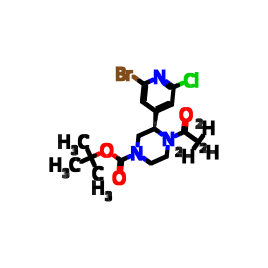 [2H]C([2H])([2H])C(=O)N1CCN(C(=O)OC(C)(C)C)C[C@H]1c1cc(Cl)nc(Br)c1